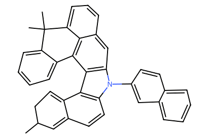 CC1C=c2ccc3c(c2=CC1)c1c2c4c(cccc4cc1n3-c1ccc3ccccc3c1)C(C)(C)c1ccccc1-2